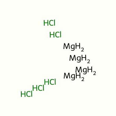 Cl.Cl.Cl.Cl.Cl.[MgH2].[MgH2].[MgH2].[MgH2]